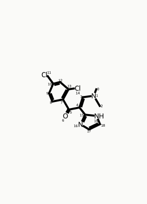 CN(C)C=C(C(=O)c1ccc(Cl)cc1Cl)c1ncc[nH]1